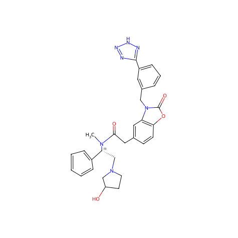 CN(C(=O)Cc1ccc2oc(=O)n(Cc3cccc(-c4nn[nH]n4)c3)c2c1)[C@H](CN1CCC(O)C1)c1ccccc1